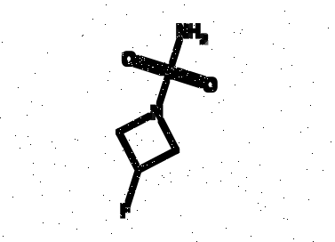 NS(=O)(=O)N1CC(F)C1